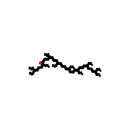 CC(C)=CCC\C(C)=C/C=C/C(C)=C/C=C\C(C)=C\C=C\C=C(C)\C=C\C=C(C)/C=C/C1OC1(C)CCC=C(C)C